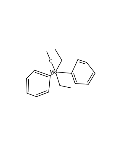 C[CH2][Mo]([CH2]C)([CH2]C)([c]1ccccc1)[c]1ccccc1